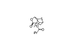 CC(C)C(=O)OC1C2CC3(C(F)(F)F)C(=O)OC1C3S2